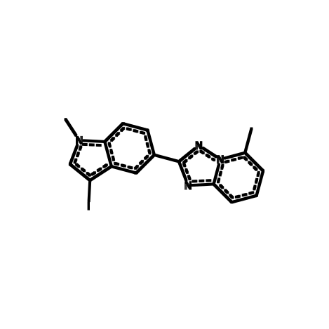 Cc1cccc2nc(-c3ccc4c(c3)c(I)cn4C)nn12